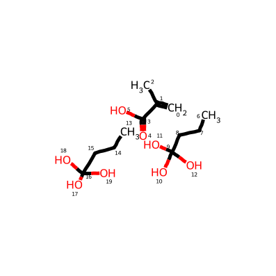 C=C(C)C(=O)O.CCCC(O)(O)O.CCCC(O)(O)O